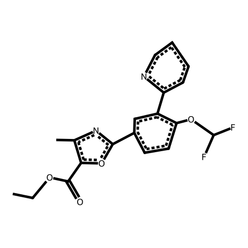 CCOC(=O)c1oc(-c2ccc(OC(F)F)c(-c3ccccn3)c2)nc1C